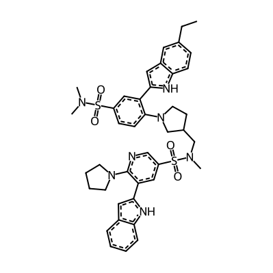 CCc1ccc2[nH]c(-c3cc(S(=O)(=O)N(C)C)ccc3N3CCC(CN(C)S(=O)(=O)c4cnc(N5CCCC5)c(-c5cc6ccccc6[nH]5)c4)C3)cc2c1